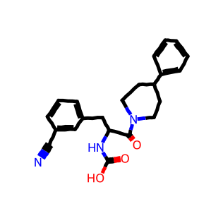 N#Cc1cccc(CC(NC(=O)O)C(=O)N2CCC(c3ccccc3)CC2)c1